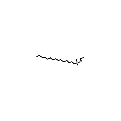 CCCCCCCCCCCCCCC[Si](C)(C)OCC